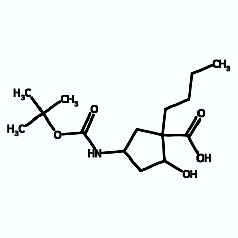 CCCCC1(C(=O)O)CC(NC(=O)OC(C)(C)C)CC1O